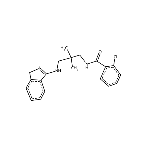 CC(C)(CNC(=O)c1ccccc1Cl)CNC1=NCc2ccccc21